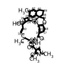 COc1nn(C)cc1C(=O)N[S@@]1(=O)=NC(=O)c2ccc3c(c2)N(C[C@@H]2CC[C@H]2[C@@H](O)/C=C/C[C@H](C)C1)C[C@@]1(CCCc2cc(C)ccc21)CO3